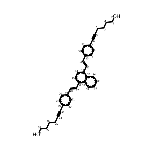 OCCCCC#Cc1ccc(C=Cc2ccc(C=Cc3ccc(C#CCCCCO)cc3)c3ccccc23)cc1